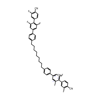 C\C=C(/C=C(F)\C(=C\F)c1ccc(C#N)c(F)c1)c1ccc(CCCCCCCCCc2ccc(-c3cc(F)c(-c4ccc(C#N)c(F)c4)c(F)c3)cc2)cc1